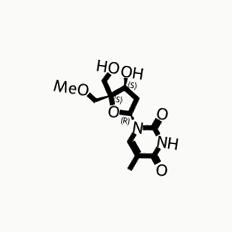 COC[C@]1(CO)O[C@@H](n2cc(C)c(=O)[nH]c2=O)C[C@@H]1O